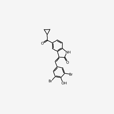 O=C1Nc2ccc(C(=O)C3CC3)cc2/C1=C/c1cc(Br)c(O)c(Br)c1